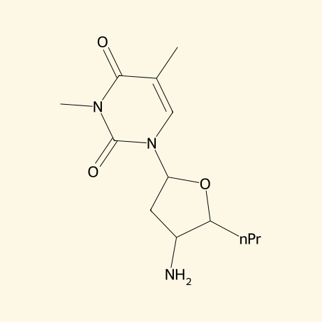 CCCC1OC(n2cc(C)c(=O)n(C)c2=O)CC1N